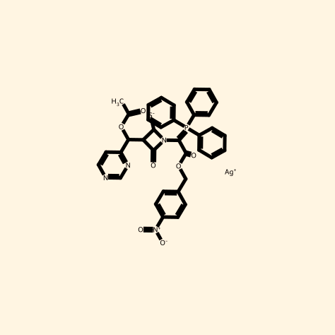 CC(=O)OC(c1ccncn1)C1C(=O)N(C(C(=O)OCc2ccc([N+](=O)[O-])cc2)=P(c2ccccc2)(c2ccccc2)c2ccccc2)C1[S-].[Ag+]